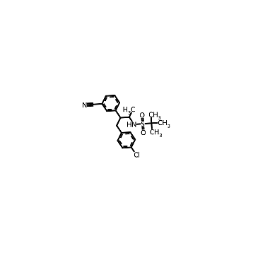 CC(NS(=O)(=O)C(C)(C)C)C(Cc1ccc(Cl)cc1)c1cccc(C#N)c1